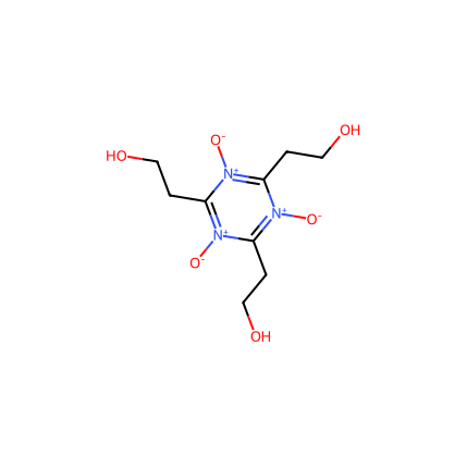 [O-][n+]1c(CCO)[n+]([O-])c(CCO)[n+]([O-])c1CCO